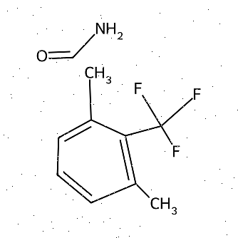 Cc1cccc(C)c1C(F)(F)F.NC=O